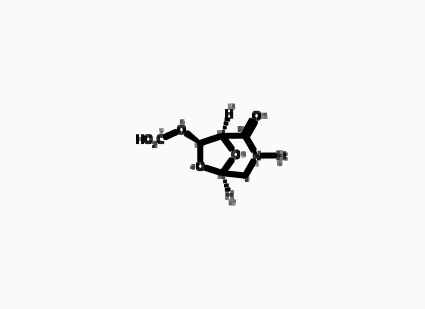 CCN1C[C@H]2O[C@@H](OC(=O)O)[C@H](O2)C1=O